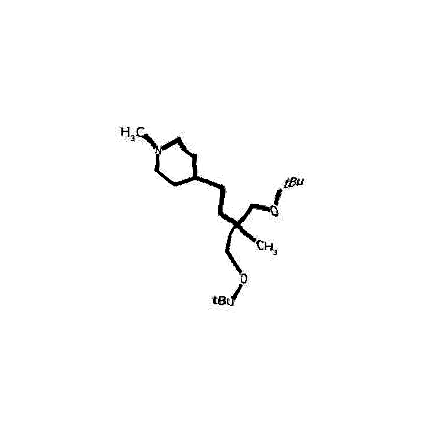 CN1CCC(CCC(C)(COC(C)(C)C)COC(C)(C)C)CC1